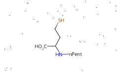 CCCCCNC(CCS)C(=O)O